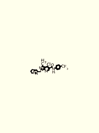 Cc1nn(Cc2cc3n(n2)CCC3)c2ncc(C(=O)Nc3ccc(C(F)(F)F)cc3)c(Cl)c12